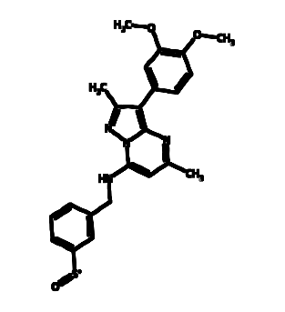 COc1ccc(-c2c(C)nn3c(NCc4cccc([S+]=O)c4)cc(C)nc23)cc1OC